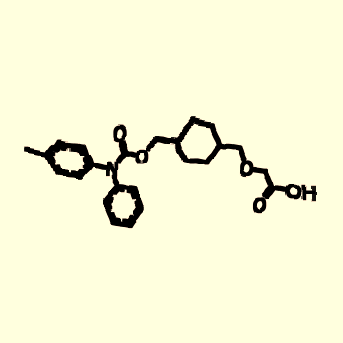 Cc1ccc(N(C(=O)OCC2CCC(COCC(=O)O)CC2)c2ccccc2)cc1